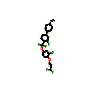 CCCc1ccc(-c2ccc(C(F)(F)Oc3ccc(O/C=C/C(F)F)c(F)c3)c(F)c2)cc1